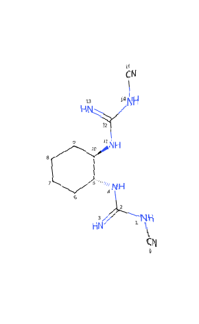 N#CNC(=N)N[C@@H]1CCCC[C@H]1NC(=N)NC#N